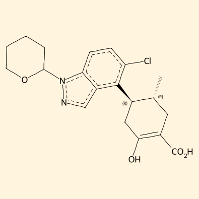 C[C@@H]1CC(C(=O)O)=C(O)C[C@H]1c1c(Cl)ccc2c1cnn2C1CCCCO1